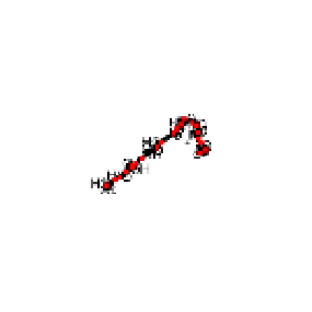 CC(=O)N(O)CCCCCNC(=O)CCC(=O)N(O)CCCCCNC(=O)CCC(=O)N(O)CCCCCNC(=O)COc1cccc(C(=O)NCC(=O)OC(=O)[C@H](N)CCCCN2C(=O)C=CC2=O)c1